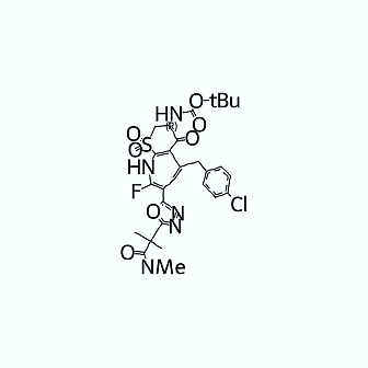 CNC(=O)C(C)(C)c1nnc(C2=C(F)NC3=C(C(=O)[C@@H](NC(=O)OC(C)(C)C)CS3(=O)=O)C(Cc3ccc(Cl)cc3)=C2)o1